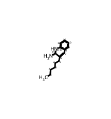 CCCCCCC1=Cc2ccccc2NC1N